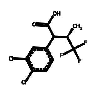 C[C@H](C(C(=O)O)c1ccc(Cl)c(Cl)c1)C(F)(F)F